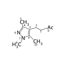 CC(=O)CCc1c(C)nn(C)c1C